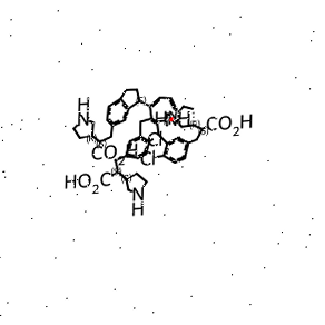 O=C(O)[C@@H](Cc1ccc(Cl)c(CC2=C(Cc3cc(C[C@H](C(=O)O)[C@H]4CCNC4)ccc3Cl)C([C@@H]3CCc4ccc(C[C@H](C(=O)O)[C@H]5CCNC5)cc43)=CC=CN2)c1)[C@H]1CCNC1